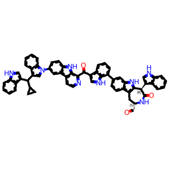 O=C[C@@H]1Cc2c([nH]c3cc(-c4cccc5c(C(=O)c6nccc7c6[nH]c6ccc(-n8cc(C(c9c[nH]c%10ccccc9%10)C9CC9)c9ccccc98)cc67)c[nH]c45)ccc23)[C@@H](c2c[nH]c3ccccc23)C(=O)N1